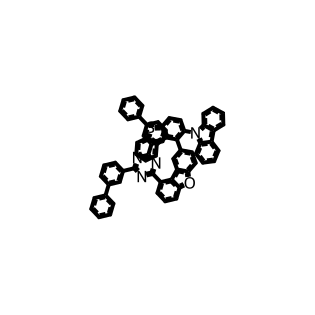 c1ccc(-c2cccc(-c3nc(-c4cccc(-c5ccccc5)c4)nc(-c4cccc5oc6ccc(-c7c(-n8c9ccccc9c9ccccc98)ccc8sc9ccccc9c78)cc6c45)n3)c2)cc1